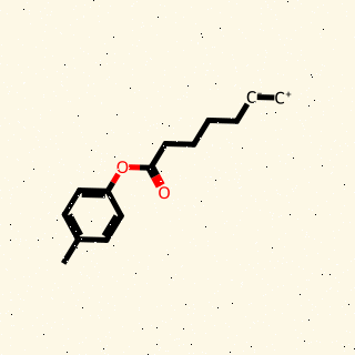 [CH2+][CH-]CCCCC(=O)Oc1ccc(C)cc1